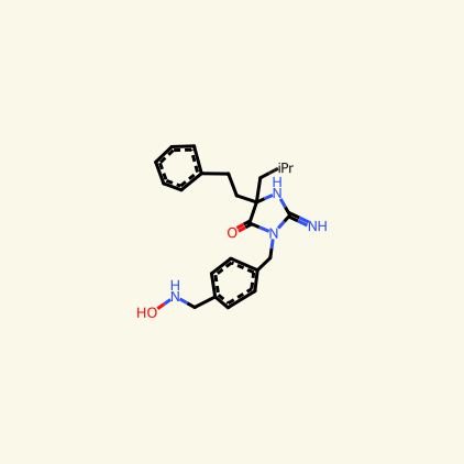 CC(C)CC1(CCc2ccccc2)NC(=N)N(Cc2ccc(CNO)cc2)C1=O